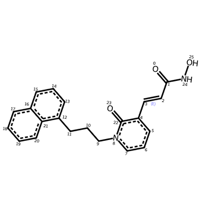 O=C(/C=C/c1cccn(CCCc2cccc3ccccc23)c1=O)NO